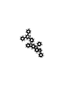 c1ccc(-c2cc(-c3ccccc3)nc(-c3cccc(-n4c5ccccc5c5cc6c7ccc8c(ccn8-c8ccccc8)c7n(-c7ccccc7)c6cc54)c3)c2)cc1